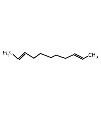 CC=CCCCCCC=CC